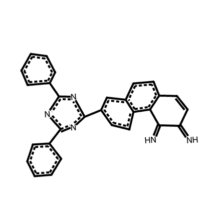 N=C1C=Cc2ccc3cc(-c4nc(-c5ccccc5)nc(-c5ccccc5)n4)ccc3c2C1=N